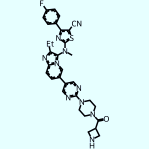 CCc1nc2ccc(-c3cnc(N4CCN(C(=O)C5CNC5)CC4)nc3)cn2c1N(C)c1nc(-c2ccc(F)cc2)c(C#N)s1